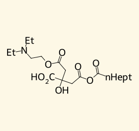 CCCCCCCC(=O)OC(=O)CC(O)(CC(=O)OCCN(CC)CC)C(=O)O